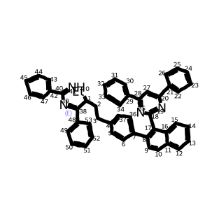 CCC(CCc1ccc(-c2ccc3ccccc3c2-c2nc(-c3ccccc3)cc(-c3ccccc3)n2)cc1)/C(=N\C(=N)c1ccccc1)c1ccccc1